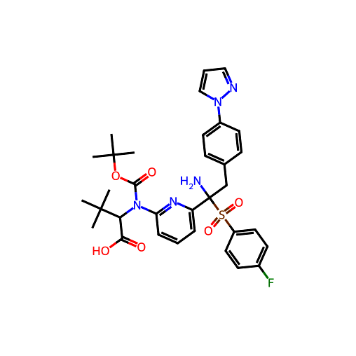 CC(C)(C)OC(=O)N(c1cccc(C(N)(Cc2ccc(-n3cccn3)cc2)S(=O)(=O)c2ccc(F)cc2)n1)C(C(=O)O)C(C)(C)C